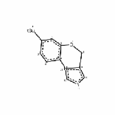 CC(C)(C)c1ccc2c(c1)OCc1cncn1-2